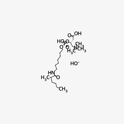 CCCCC(C)C(=O)NCCCCCCCOP(=O)(O)O[C@H](CC(=O)O)C[N+](C)(C)C.[OH-]